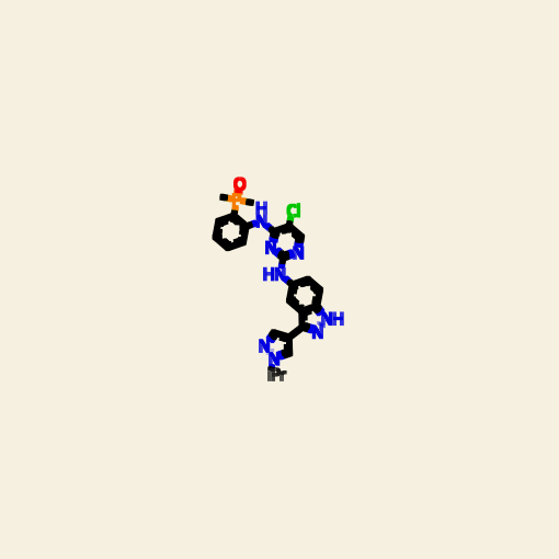 CC(C)n1cc(-c2n[nH]c3ccc(Nc4ncc(Cl)c(Nc5ccccc5P(C)(C)=O)n4)cc23)cn1